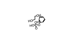 O=P(O)(O)Oc1ccccc1.OCCO